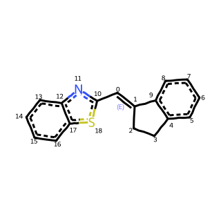 C(=C1/CCc2ccccc21)/c1nc2ccccc2s1